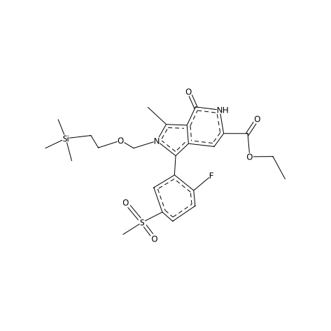 CCOC(=O)c1cc2c(-c3cc(S(C)(=O)=O)ccc3F)n(COCC[Si](C)(C)C)c(C)c2c(=O)[nH]1